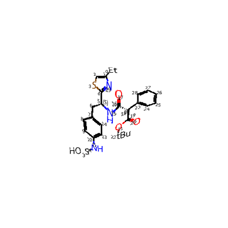 CCc1csc([C@H](Cc2ccc(NS(=O)(=O)O)cc2)NC(=O)[C@@H](C(=O)OC(C)(C)C)c2ccccc2)n1